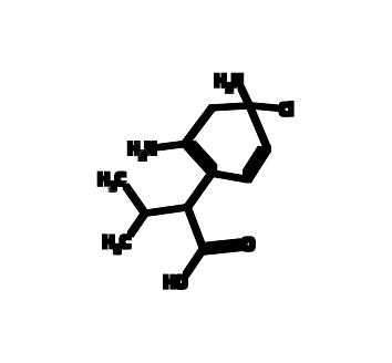 CC(C)C(C(=O)O)C1=C(N)CC(N)(Cl)C=C1